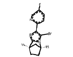 Fc1ccc(-c2nc3n(c2Br)[C@H]2CC[C@@H]3C2)nc1